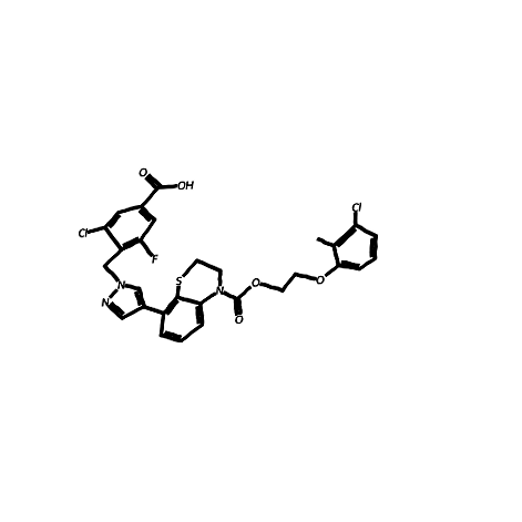 Cc1c(Cl)cccc1OCCOC(=O)N1CCSc2c(-c3cnn(Cc4c(F)cc(C(=O)O)cc4Cl)c3)cccc21